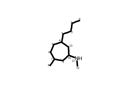 CCCCC1CCC(C)CC(NC)C1